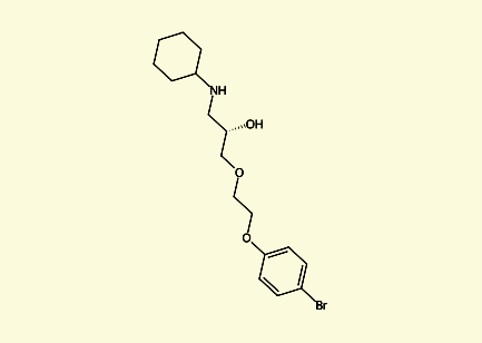 O[C@@H](CNC1CCCCC1)COCCOc1ccc(Br)cc1